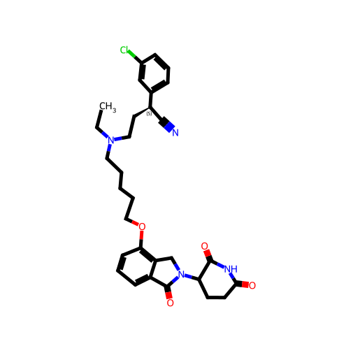 CCN(CCCCCOc1cccc2c1CN(C1CCC(=O)NC1=O)C2=O)CC[C@H](C#N)c1cccc(Cl)c1